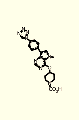 Cn1cc(-c2ccc(-n3cnnn3)cc2)c2ncnc(OC3CCN(C(=O)O)CC3)c21